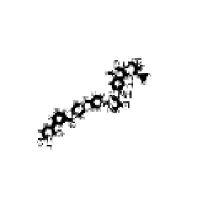 Cn1c(=O)c2c(c3cc(Nc4nc(N5CCC(CN6CCN(C(=O)c7cccc(C8CCC(=O)NC8=O)c7)CC6)CC5)ncc4Cl)ccc31)N[C@@H](C1CC1)C(F)(F)CO2